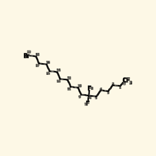 FC(F)(F)CCCCCC(F)(F)CCCCCCCCCCBr